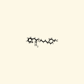 CC(=O)N1CCN(CCCCOCC(N)Cc2ccccn2)CC1